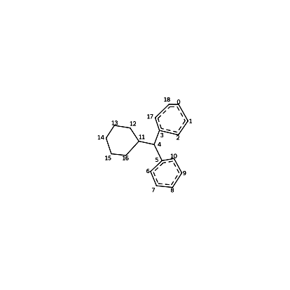 c1ccc(C(c2ccccc2)C2CCCCC2)cc1